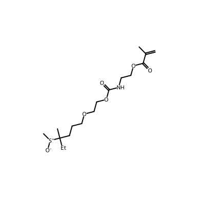 C=C(C)C(=O)OCCNC(=O)OCCOCCCC(C)(CC)[S+](C)[O-]